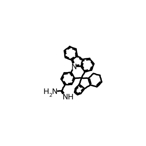 N=C(N)c1ccc2c(c1)C1(C3=C(C=CCC3)c3ccccc31)c1cccc3c4ccccc4n-2c13